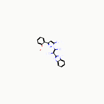 COc1ccccc1-c1cc(N)n(/C(N)=C(\N)c2nc3ccccc3[nH]2)n1